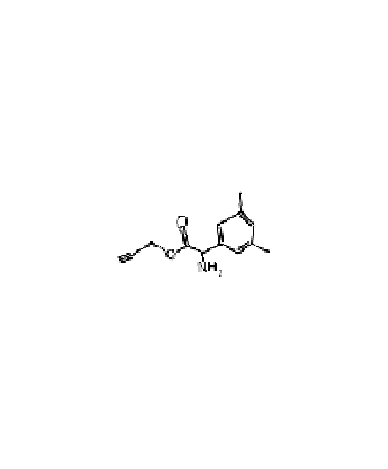 C#CCOC(=O)C(N)c1cc(C)cc(C)c1